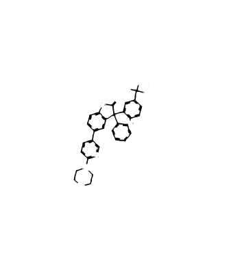 CC(C)(C)c1ccc(O)c(C2(c3ccccc3)C(=O)Nc3ccc(-c4ccc(N5CCOCC5)nc4)cc32)c1